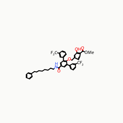 COC(=O)c1ccc(COc2c(-c3cccc(C(F)(F)F)c3)cc(C(=O)NCCCCCCCCc3ccccc3)cc2-c2cccc(C(F)(F)F)c2)cc1O